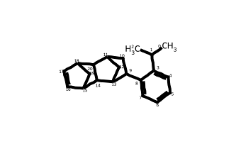 CC(C)c1ccccc1C1CC2CC1C1C3C=CC(C3)C21